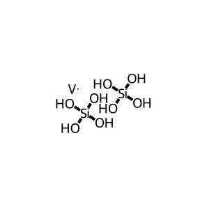 O[Si](O)(O)O.O[Si](O)(O)O.[V]